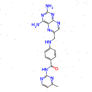 Cc1ccnc(NC(=O)c2ccc(NCc3cnc4nc(N)nc(N)c4n3)cc2)n1